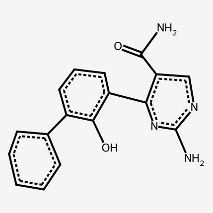 NC(=O)c1cnc(N)nc1-c1cccc(-c2ccccc2)c1O